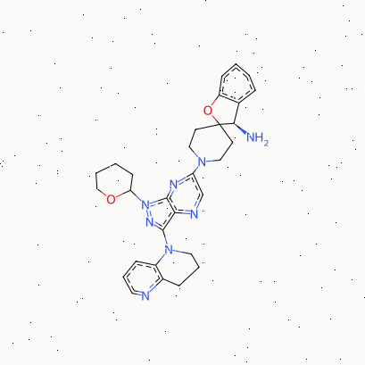 N[C@@H]1c2ccccc2OC12CCN(c1cnc3c(N4CCCc5ncccc54)nn(C4CCCCO4)c3n1)CC2